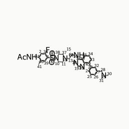 CC(=O)Nc1cc(F)c(S(=O)(=O)N2CCN(C[C@H](C)Nc3ncnc4c(-c5cccc(CN(C)C)c5)cccc34)CC2)cc1C